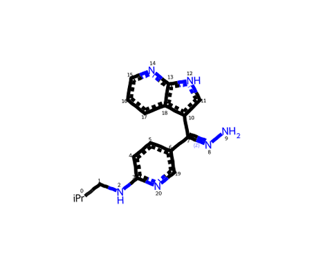 CC(C)CNc1ccc(/C(=N/N)c2c[nH]c3ncccc23)cn1